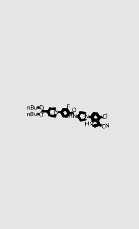 CCCCOC(OCCCC)C1CCN(c2ccc(C(=O)NC3CCN(c4ccc(Cl)c5c(C#N)c[nH]c45)CC3)c(F)c2)CC1